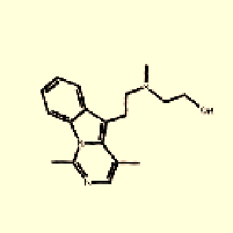 Cc1cnc(C)n2c1c(CCN(C)CCO)c1ccccc12